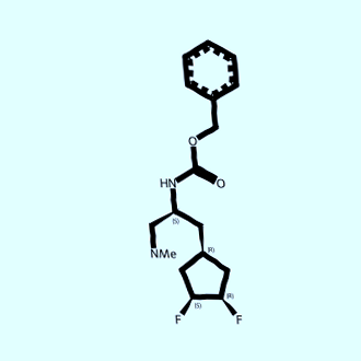 CNC[C@H](C[C@H]1C[C@@H](F)[C@@H](F)C1)NC(=O)OCc1ccccc1